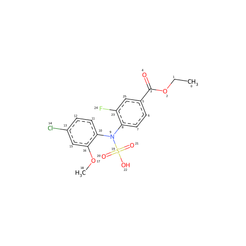 CCOC(=O)c1ccc(N(c2ccc(Cl)cc2OC)S(=O)(=O)O)c(F)c1